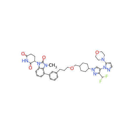 Cn1c(=O)n(C2CCC(=O)NC2=O)c2cccc(-c3cccc(CCCOCC4CCC(n5cc(-n6nccc6N6CCOCC6)c(C(F)F)n5)CC4)c3)c21